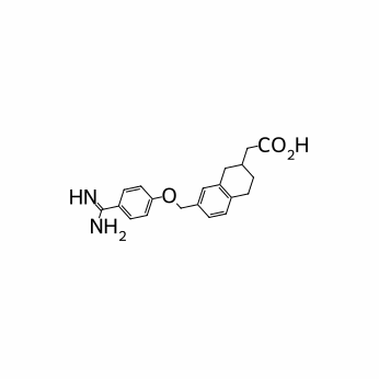 N=C(N)c1ccc(OCc2ccc3c(c2)CC(CC(=O)O)CC3)cc1